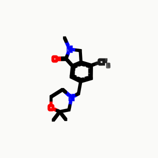 CN1Cc2c(cc(CN3CCOC(C)(C)C3)cc2C(F)(F)F)C1=O